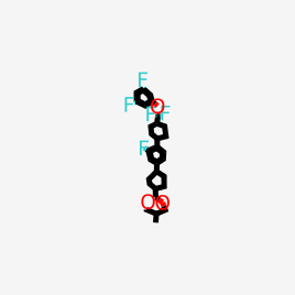 CC1COC(C2CCC(c3ccc(C4CCC(C(F)(F)Oc5cc(F)cc(F)c5)CC4)c(F)c3)CC2)OC1